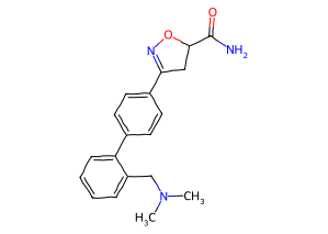 CN(C)Cc1ccccc1-c1ccc(C2=NOC(C(N)=O)C2)cc1